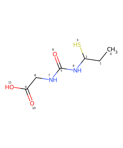 CCC(S)NC(=O)NCC(=O)O